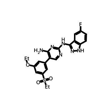 CCOc1cc(-c2cnc(Nc3n[nH]c4ccc(F)cc34)nc2N)cc(S(=O)(=O)CC)c1